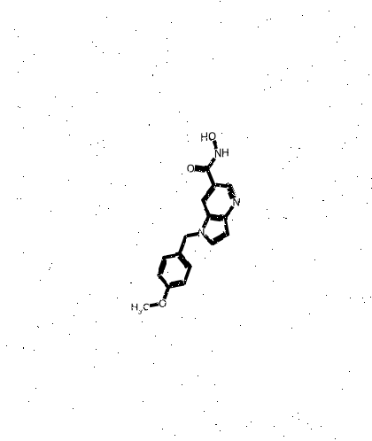 COc1ccc(Cn2ccc3ncc(C(=O)NO)cc32)cc1